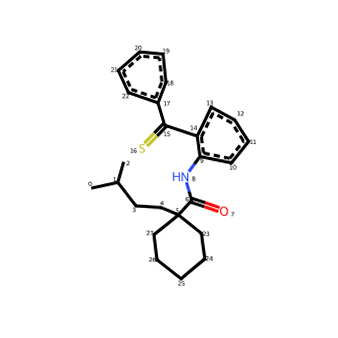 CC(C)CCC1(C(=O)Nc2ccccc2C(=S)c2cc[c]cc2)CCCCC1